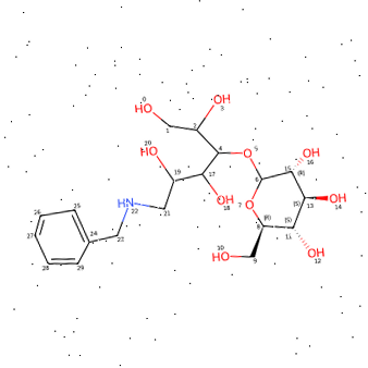 OCC(O)C(OC1O[C@H](CO)[C@@H](O)[C@H](O)[C@H]1O)C(O)C(O)CNCc1ccccc1